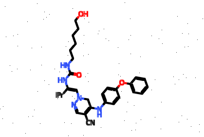 CC(C)/C(=C\N1CC(Nc2ccc(Oc3ccccc3)cc2)=C(C#N)C=N1)NC(=O)NCCCCCCO